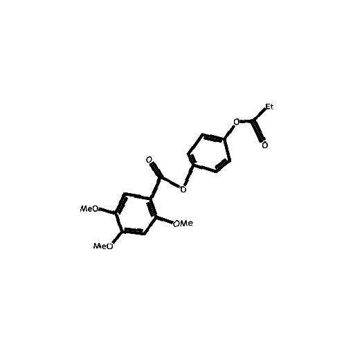 CCC(=O)Oc1ccc(OC(=O)c2cc(OC)c(OC)cc2OC)cc1